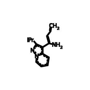 C=C/C=C(\N)c1c(C(C)C)nn2ccccc12